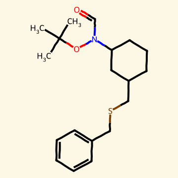 CC(C)(C)ON(C=O)C1CCCC(CSCc2ccccc2)C1